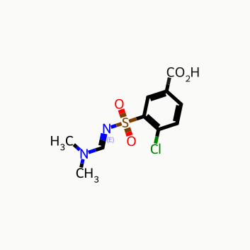 CN(C)/C=N/S(=O)(=O)c1cc(C(=O)O)ccc1Cl